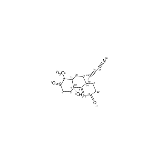 CC1C(=O)CC[C@]2(C)C3=CC(=O)CC[C@]3(C#CC#N)CCC12